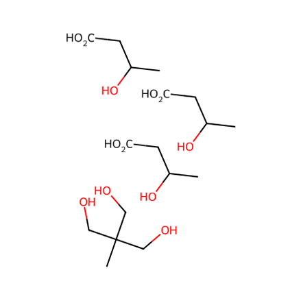 CC(CO)(CO)CO.CC(O)CC(=O)O.CC(O)CC(=O)O.CC(O)CC(=O)O